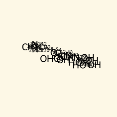 O=C(Cc1ccc(OCCCC2CCN(c3ncc(Cl)cn3)CC2)cc1F)N1CC(CNCC(O)C(O)C(O)C(O)CO)C1.O=CO